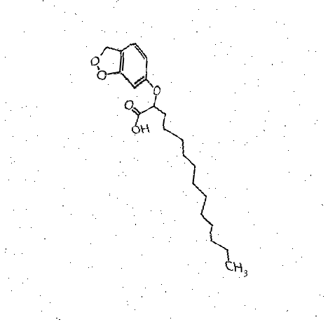 CCCCCCCCCCCCC(Oc1ccc2c(c1)OOC2)C(=O)O